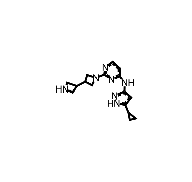 c1cc(Nc2cc(C3CC3)[nH]n2)nc(N2CC(C3CNC3)C2)n1